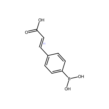 O=C(O)/C=C/c1ccc(B(O)O)cc1